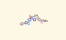 C=CCn1c(=O)c2cnc(Nc3ccc(N4CCOCC4)cc3)nc2n1-c1cccc(OC2CCN(C(=O)OC(C)(C)C)CC2)n1